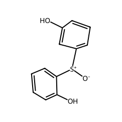 [O-][S+](c1cccc(O)c1)c1ccccc1O